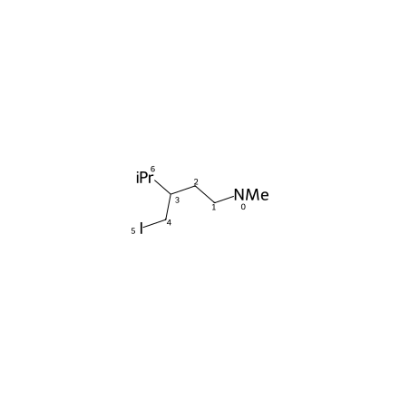 CNCCC(CI)C(C)C